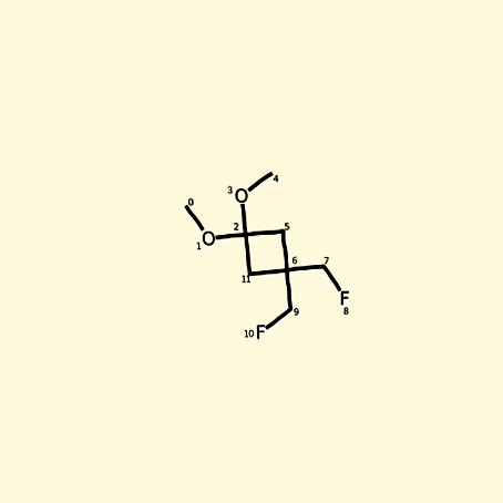 COC1(OC)CC(CF)(CF)C1